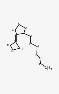 CCCCCCCC1CCCC1=C1CCC1